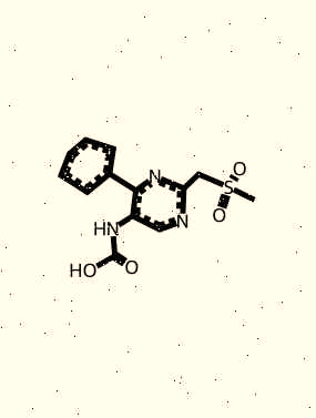 CS(=O)(=O)Cc1ncc(NC(=O)O)c(-c2ccccc2)n1